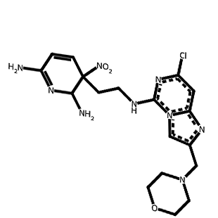 NC1=NC(N)C(CCNc2nc(Cl)cc3nc(CN4CCOCC4)cn23)([N+](=O)[O-])C=C1